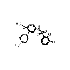 COc1ccc(NS(=O)(=O)c2cccc(Cl)c2Cl)cc1N1CCN(C)CC1